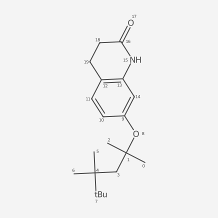 CC(C)(CC(C)(C)C(C)(C)C)Oc1ccc2c(c1)NC(=O)CC2